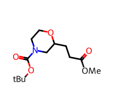 COC(=O)CCC1CN(C(=O)OC(C)(C)C)CCO1